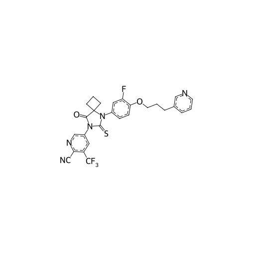 N#Cc1ncc(N2C(=O)C3(CCC3)N(c3ccc(OCCCc4cccnc4)c(F)c3)C2=S)cc1C(F)(F)F